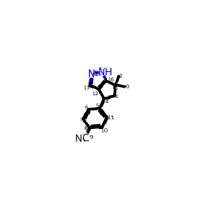 CC1(C)CC(c2ccc(C#N)cc2)c2cn[nH]c21